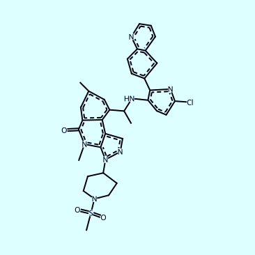 Cc1cc(C(C)Nc2ccc(Cl)nc2-c2ccc3ncccc3c2)c2c(c1)c(=O)n(C)c1c2cnn1C1CCN(S(C)(=O)=O)CC1